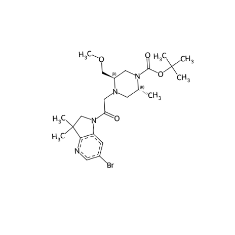 COC[C@H]1CN(C(=O)OC(C)(C)C)[C@H](C)CN1CC(=O)N1CC(C)(C)c2ncc(Br)cc21